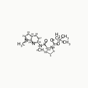 CN(C(=O)[C@@H]1CCCN1C(=O)OC(C)(C)C)c1ccc2ccn(C)c2n1